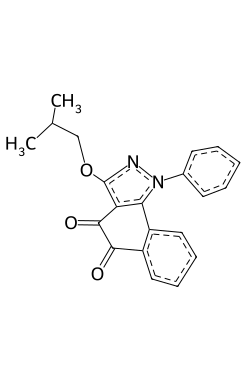 CC(C)COc1nn(-c2ccccc2)c2c1C(=O)C(=O)c1ccccc1-2